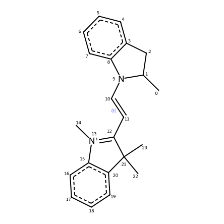 CC1Cc2ccccc2N1/C=C/C1=[N+](C)c2ccccc2C1(C)C